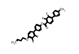 C=CCCOc1ccc(-c2ccc(OC(=O)c3ccc(-c4ccc(C)cc4)c(F)c3F)cc2)c(F)c1F